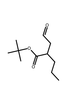 CCCC(CC=O)C(=O)OC(C)(C)C